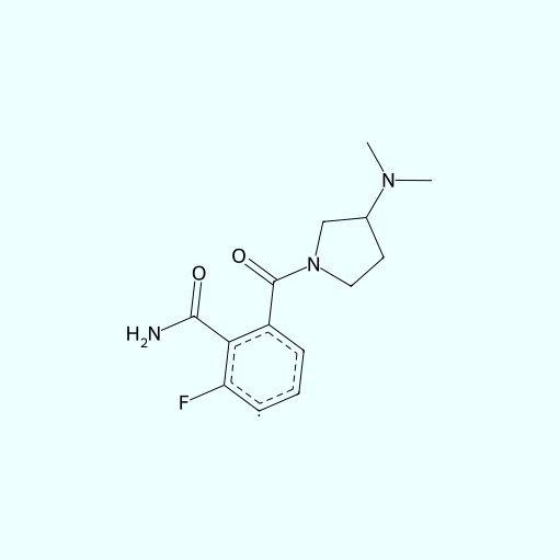 CN(C)C1CCN(C(=O)c2cc[c]c(F)c2C(N)=O)C1